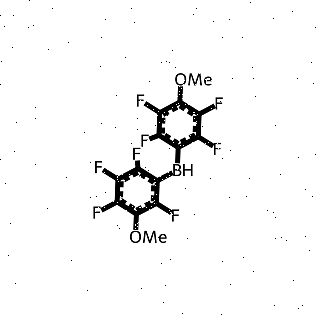 COc1c(F)c(F)c(Bc2c(F)c(F)c(F)c(OC)c2F)c(F)c1F